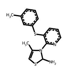 CC1=CSC(N)N1c1ncccc1Sc1cccc(C)c1